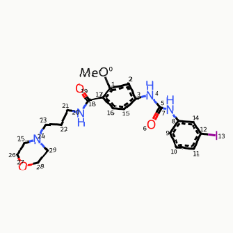 COc1cc(NC(=O)Nc2cccc(I)c2)ccc1C(=O)NCCCN1CCOCC1